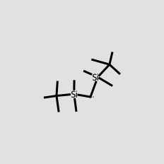 CC(C)(C)[Si](C)(C)[CH][Si](C)(C)C(C)(C)C